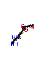 CC(=O)CCCCCN1C(=O)CC(SCCCCCC(=O)NCCCCCC=N)C1=O